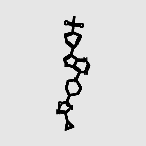 CS(=O)(=O)c1ccc(-c2csc3c(N4CCC(c5nc(C6CC6)no5)CC4)ncnc23)cc1